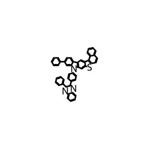 c1ccc(-c2ccc3c4cc5c(cc4n(-c4ccc(-c6nc7ccccc7nc6-c6ccccc6)cc4)c3c2)sc2ccc3ccccc3c25)cc1